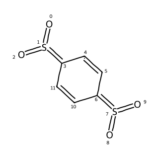 O=S(=O)=C1[C]=CC(=S(=O)=O)C=C1